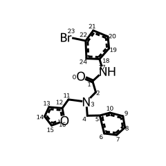 O=C(CN(Cc1ccccc1)Cc1ccco1)Nc1cccc(Br)c1